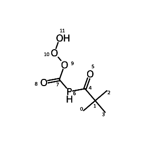 CC(C)(C)C(=O)PC(=O)OOO